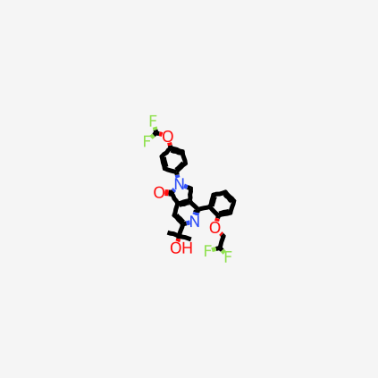 CC(C)(O)c1cc2c(c(-c3ccccc3OCC(F)F)n1)CN(c1ccc(OC(F)F)cc1)C2=O